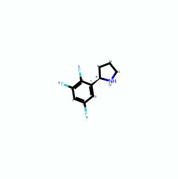 Fc1cc(F)c(F)c([C@H]2CCCN2)c1